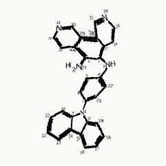 Nc1c(Nc2ccc(-n3c4ccccc4c4ccccc43)cc2)c2ccncc2c2cnccc12